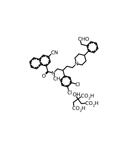 CN(CC(CCN1CCC(c2ccccc2CC=O)CC1)c1ccc(Cl)c(Cl)c1)C(=O)c1cc(C#N)cc2ccccc12.O=C(O)CC(O)(CC(=O)O)C(=O)O